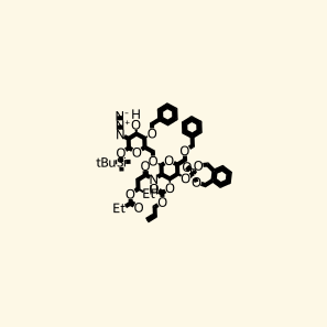 C=CCOC(=O)O[C@@H]1C(NC(=O)C[C@@H](CC)OC(=O)CC)[C@H](OCC2OC(O[Si](C)(C)C(C)(C)C)C(N=[N+]=[N-])[C@@H](O)[C@@H]2OCc2ccccc2)OC(COCc2ccccc2)[C@H]1OP1(=O)OCc2ccccc2CO1